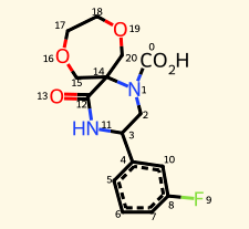 O=C(O)N1CC(c2cccc(F)c2)NC(=O)C12COCCOC2